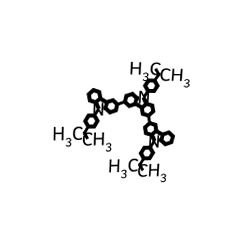 CC(C)c1ccc(-n2c3ccccc3c3cc(-c4ccc5c(c4)c4cc(-c6ccc7c(c6)c6ccccc6n7-c6ccc(C(C)C)cc6)ccc4n5-c4ccc(C(C)C)cc4)ccc32)cc1